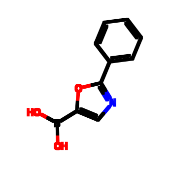 OB(O)c1cnc(-c2ccccc2)o1